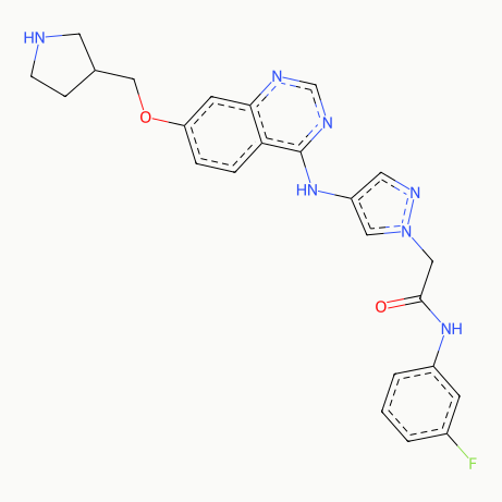 O=C(Cn1cc(Nc2ncnc3cc(OCC4CCNC4)ccc23)cn1)Nc1cccc(F)c1